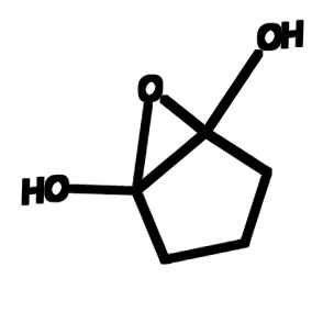 OC12CCCC1(O)O2